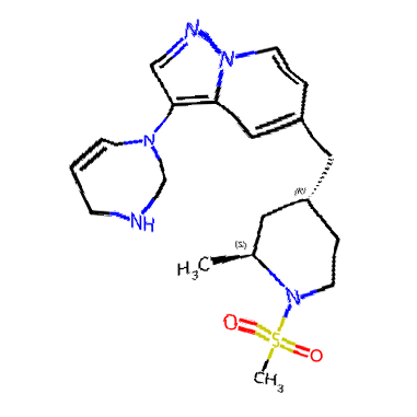 C[C@H]1C[C@H](Cc2ccn3ncc(N4C=CCNC4)c3c2)CCN1S(C)(=O)=O